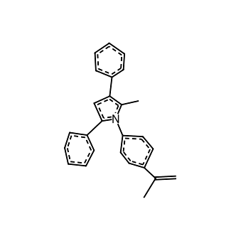 C=C(C)c1ccc(-n2c(-c3ccccc3)cc(-c3ccccc3)c2C)cc1